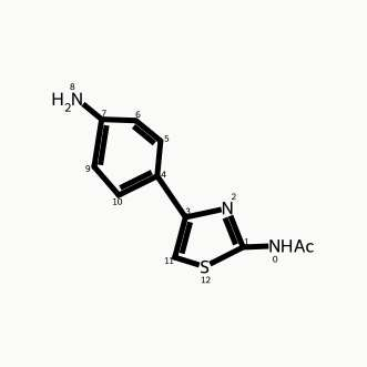 CC(=O)Nc1nc(-c2ccc(N)cc2)cs1